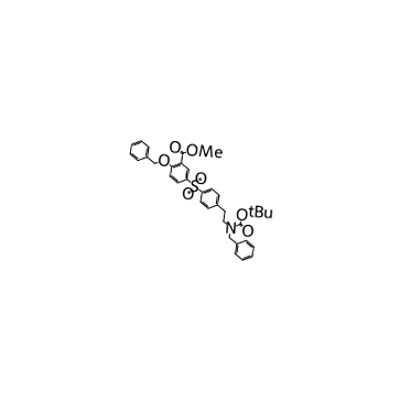 COC(=O)c1cc(S(=O)(=O)c2ccc(CCN(Cc3ccccc3)C(=O)OC(C)(C)C)cc2)ccc1OCc1ccccc1